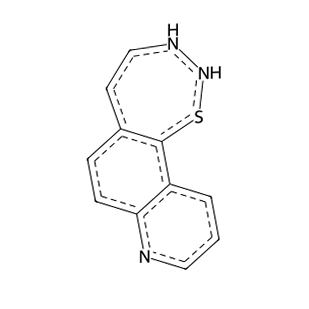 c1cnc2ccc3cc[nH][nH]sc3c2c1